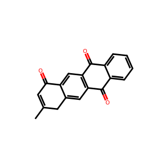 CC1=CC(=O)c2cc3c(cc2C1)C(=O)c1ccccc1C3=O